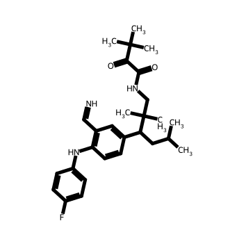 CC(C)CC(c1ccc(Nc2ccc(F)cc2)c(C=N)c1)C(C)(C)CNC(=O)C(=O)C(C)(C)C